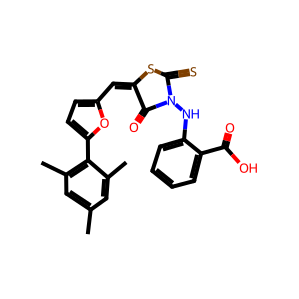 Cc1cc(C)c(-c2ccc(C=C3SC(=S)N(Nc4ccccc4C(=O)O)C3=O)o2)c(C)c1